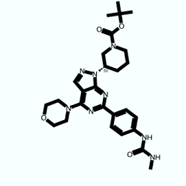 CNC(=O)Nc1ccc(-c2nc(N3CCOCC3)c3cnn([C@H]4CCCN(C(=O)OC(C)(C)C)C4)c3n2)cc1